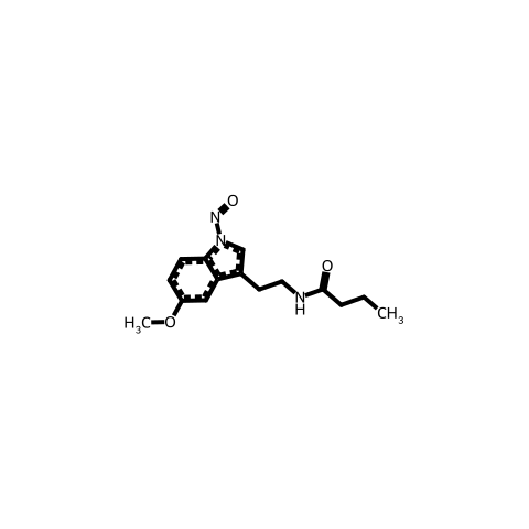 CCCC(=O)NCCc1cn(N=O)c2ccc(OC)cc12